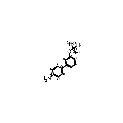 [2H]C([2H])([2H])Oc1cccc(-c2ccc(N)cc2)c1